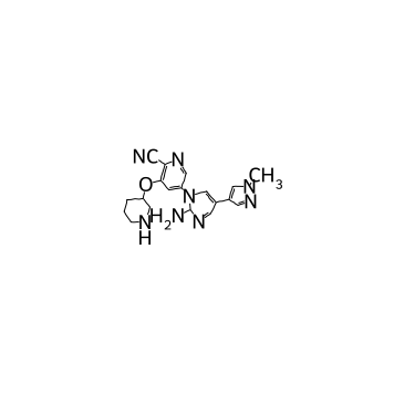 Cn1cc(C2=CN(c3cnc(C#N)c(OC4CCCNC4)c3)C(N)N=C2)cn1